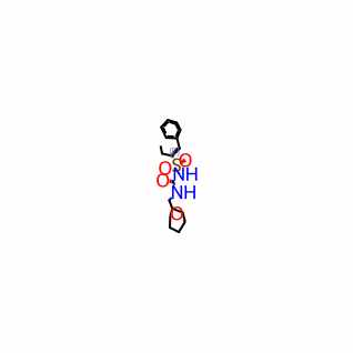 CC/C(=C\c1ccccc1)S(=O)(=O)NC(=O)NCC1CC2CCC1O2